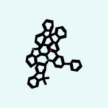 CC1(C)c2ccccc2-c2ccc(N(c3ccc(-c4ccccc4)cc3-c3ccc4c(c3)-c3ccccc3C43c4ccccc4-c4ccccc43)c3cccc4oc5ccccc5c34)cc21